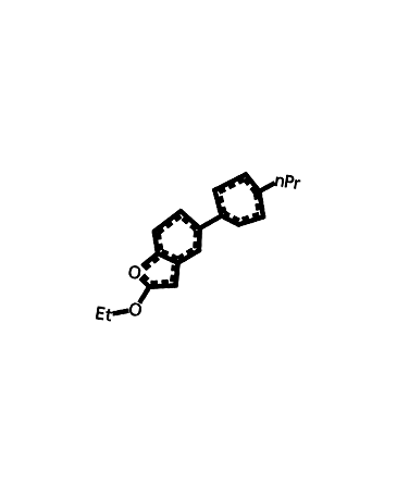 CCCc1ccc(-c2ccc3oc(OCC)cc3c2)cc1